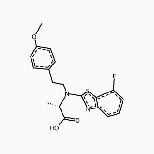 COc1ccc(CCN(c2nc3cccc(F)c3s2)[C@@H](C)C(=O)O)cc1